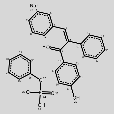 O=C(C(=Cc1ccccc1)c1ccccc1)c1ccc(O)cc1.O=P([O-])(O)Oc1ccccc1.[Na+]